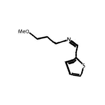 COCCC/N=C\c1cccs1